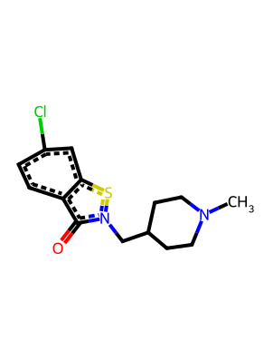 CN1CCC(Cn2sc3cc(Cl)ccc3c2=O)CC1